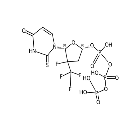 O=c1ccn([C@@H]2O[C@H](OP(=O)(O)OP(=O)(O)OP(=O)(O)O)CC2(F)C(F)(F)F)c(=S)[nH]1